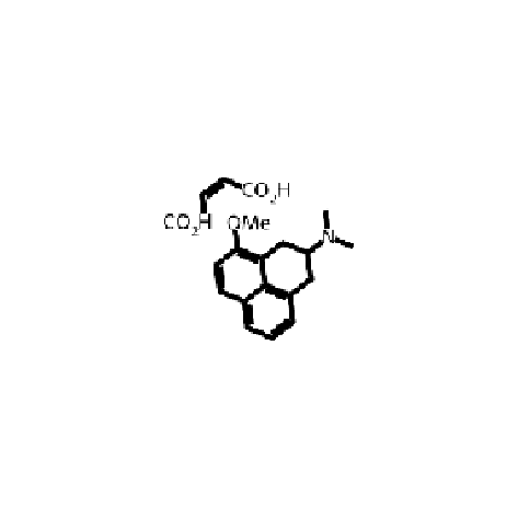 COc1ccc2cccc3c2c1CC(N(C)C)C3.O=C(O)/C=C\C(=O)O